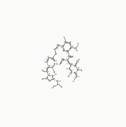 C=N/C(Nc1cc(/N=C\CC(=C)/C=C\C(=C(/C)n2nc(OC(C)F)cc2C)C(F)F)c(C)cc1OC)=C(\C=C(\C)CC)C(=O)N(C)CCF